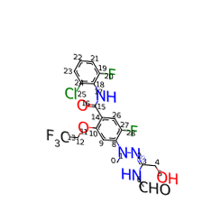 CN(/N=C(/CO)NC=O)c1cc(OCC(F)(F)F)c(C(=O)Nc2c(F)cccc2Cl)cc1F